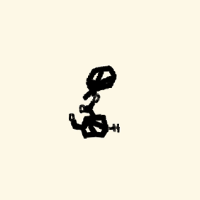 CC1(OC(=O)C23CC4C[C@@H](CC(C=O)(C4)C2)C3)C2CC3CC(C2)CC1C3